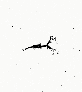 BC(P)C#CC